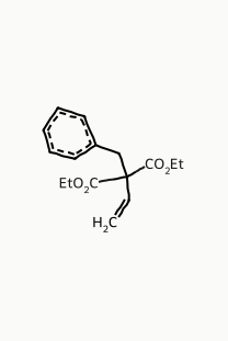 C=CC(Cc1ccccc1)(C(=O)OCC)C(=O)OCC